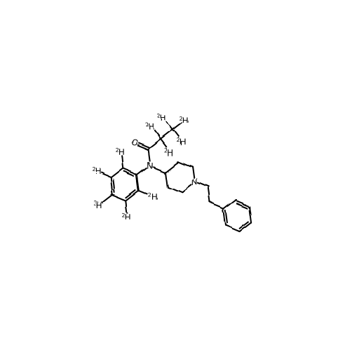 [2H]c1c([2H])c([2H])c(N(C(=O)C([2H])([2H])C([2H])([2H])[2H])C2CCN(CCc3ccccc3)CC2)c([2H])c1[2H]